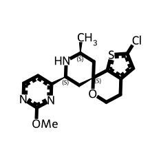 COc1nccc([C@@H]2C[C@]3(C[C@H](C)N2)OCCc2cc(Cl)sc23)n1